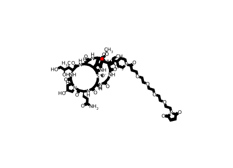 CC[C@H](C)[C@@H]1NC(=O)CNC(=O)[C@@H]2Cc3c([nH]c4c(CSC5CCN(C(=O)CCOCCOCCOCCOCCN6C(=O)C=CC6=O)CC5)c(OC)ccc34)[S+]([O-])C[C@H](NC(=O)CNC1=O)C(=O)N[C@@H](CCC(N)=O)C(=O)N1C[C@H](O)C[C@H]1C(=O)N[C@@H]([C@@H](C)[C@@H](O)CO)C(=O)N2